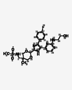 CC1(CNS(C)(=O)=O)COC(c2nc(-c3ccc(F)cc3)c(-c3ccnc(NCCO)n3)[nH]2)OC1